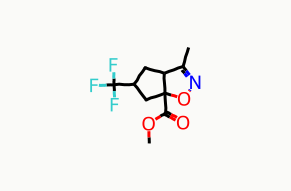 COC(=O)C12CC(C(F)(F)F)CC1C(C)=NO2